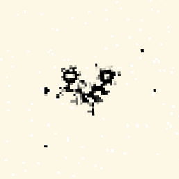 CC(NC(=O)c1c[nH]c2ncc(-c3cccc(F)c3)cc12)C1CCCCC1